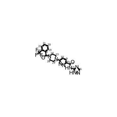 O=C(Nc1ncn[nH]1)c1ccc(N2CCN(C(=O)c3ccccc3C(F)(F)F)CC2)nn1